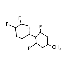 CC1CC(F)C(C2=CC(F)C(F)CC2)C(F)C1